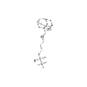 CC(C)(C)C(F)(F)CCCCOCC12CC3CC(C1)C(O)C(C3)C2